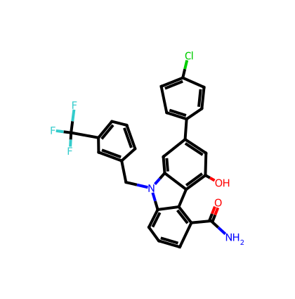 NC(=O)c1cccc2c1c1c(O)cc(-c3ccc(Cl)cc3)cc1n2Cc1cccc(C(F)(F)F)c1